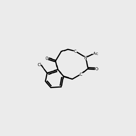 CC(=O)N1CCCC(=O)c2c(Cl)cccc2CCC1=O